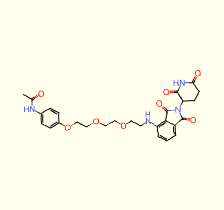 CC(=O)Nc1ccc(OCCOCCOCCNc2cccc3c2C(=O)N(C2CCC(=O)NC2=O)C3=O)cc1